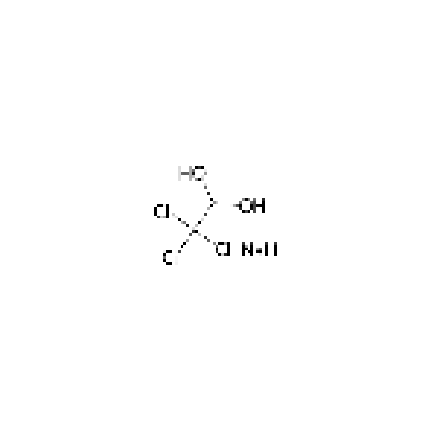 OC(O)C(Cl)(Cl)Cl.[NaH]